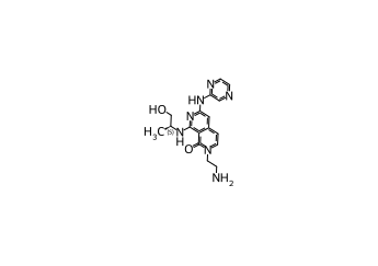 C[C@@H](CO)Nc1nc(Nc2cnccn2)cc2ccn(CCN)c(=O)c12